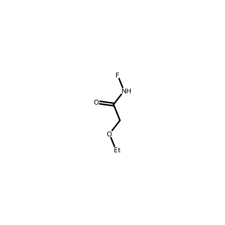 CCOCC(=O)NF